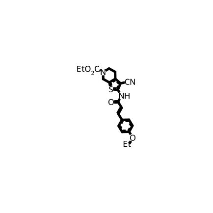 CCOC(=O)N1CCc2c(sc(NC(=O)/C=C/c3ccc(OCC)cc3)c2C#N)C1